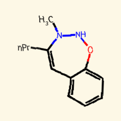 CCCc1cc2ccccc2o[nH]n1C